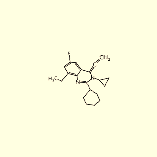 C=C=C1c2cc(F)cc(CC)c2N=C(C2CCCCC2)N1C1CC1